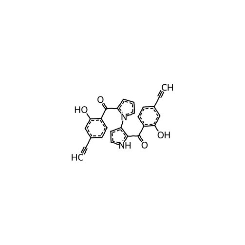 C#Cc1ccc(C(=O)c2[nH]ccc2-n2cccc2C(=O)c2ccc(C#C)cc2O)c(O)c1